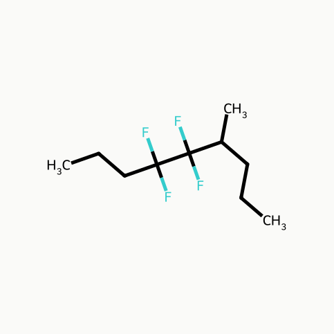 CCCC(C)C(F)(F)C(F)(F)CCC